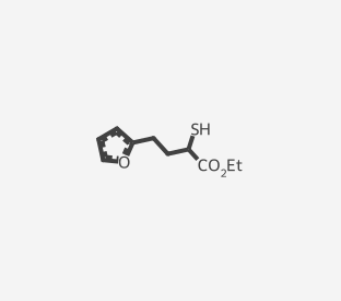 CCOC(=O)C(S)CCc1ccco1